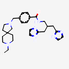 CC(C)CN1CCC2(CC1)CCN(Cc1ccc(C(=O)NCC(Cc3ncc[nH]3)Cc3ncc[nH]3)cc1)C2